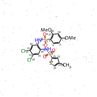 COc1ccc(S(=O)(=O)Nc2cc(Cl)c(Cl)cc2NS(=O)(=O)c2cc(C)cs2)c(OC)c1